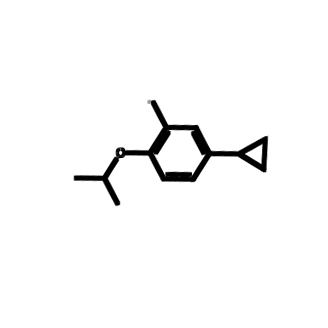 [CH2]c1cc(C2CC2)ccc1OC(C)C